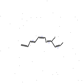 C=C/C=C/C=C\N=C(I)\C=C/C